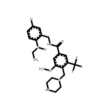 CC[S+]([O-])c1ccc(Cl)cc1CNC(=O)c1cc(OC)c(CN2CCNCC2)c(C(F)(F)F)c1